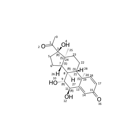 CC(=O)[C@@]1(O)CC[C@H]2[C@@H]3[C@@H](O)[C@H](O)C4=CC(=O)C=C[C@]4(C)[C@H]3CC[C@@]21C